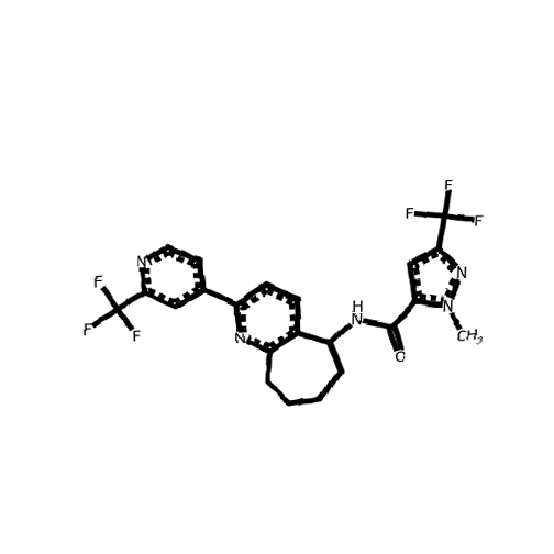 Cn1nc(C(F)(F)F)cc1C(=O)NC1CCCCc2nc(-c3ccnc(C(F)(F)F)c3)ccc21